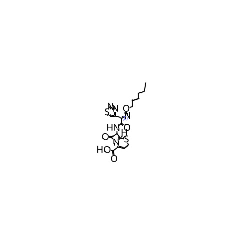 CCCCCCO/N=C(/C(=O)NC1C(=O)N2C(C(=O)O)=CCS[C@H]12)c1csnn1